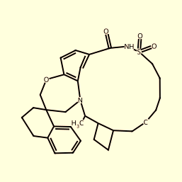 CC1C2CCC2CCCCCCS(=O)(=O)NC(=O)c2ccc3c(c2)N1CC1(CCCc2ccccc21)CO3